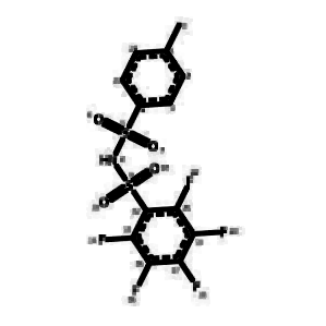 Cc1ccc(S(=O)(=O)NS(=O)(=O)c2c(F)c(F)c(F)c(F)c2F)cc1